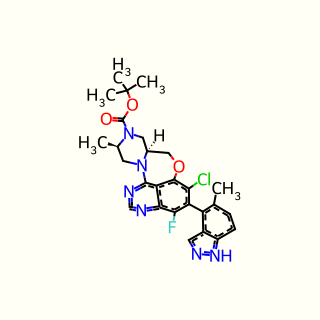 Cc1ccc2[nH]ncc2c1-c1c(Cl)c2c3c(ncnc3c1F)N1C[C@@H](C)N(C(=O)OC(C)(C)C)C[C@H]1CO2